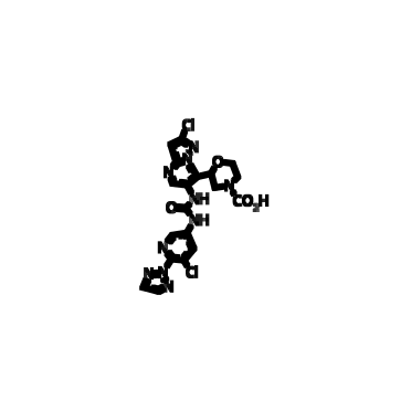 O=C(Nc1cnc(-n2nccn2)c(Cl)c1)Nc1cnc2cc(Cl)nn2c1C1CN(C(=O)O)CCO1